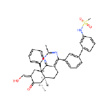 Cc1nc(-c2cccc(-c3cccc(NS(C)(=O)=O)c3)c2)c2c(n1)[C@@]1(c3ccccc3)CC(=CO)C(=O)[C@@H](C)[C@@H]1CC2